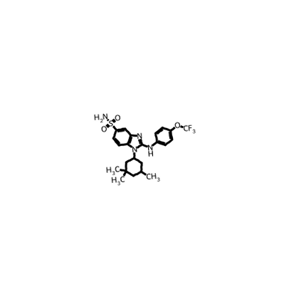 CC1CC(n2c(Nc3ccc(OC(F)(F)F)cc3)nc3cc(S(N)(=O)=O)ccc32)CC(C)(C)C1